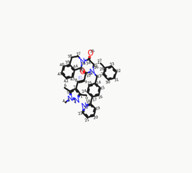 Cc1nn(C)c(C)c1/C=C/C(=O)N(Cc1ccc(-c2ccccn2)cc1)[C@@H](Cc1ccccc1)C(=O)N1CCc2ccccc2C1